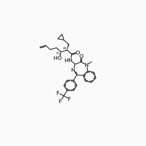 C=CCC[C@H](O)[C@@H](CC1CC1)C(=O)NC1N=C(c2ccc(C(F)(F)F)cc2)c2ccccc2N(C)C1=O